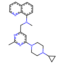 Cc1nc(CN(C)c2cccc3cccnc23)cc(N2CCN(C3CC3)CC2)n1